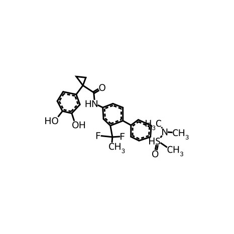 CN(C)[SH](C)(=O)c1ccc(-c2ccc(NC(=O)C3(c4ccc(O)c(O)c4)CC3)cc2C(C)(F)F)cc1